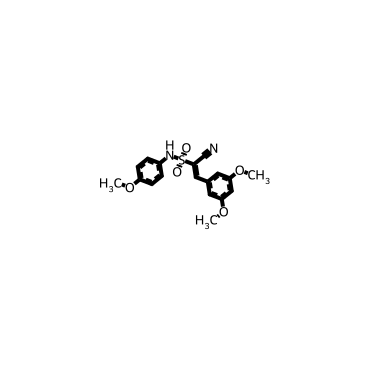 COc1ccc(NS(=O)(=O)C(C#N)=Cc2cc(OC)cc(OC)c2)cc1